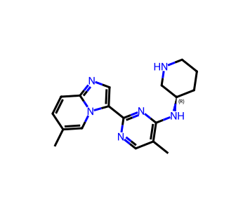 Cc1ccc2ncc(-c3ncc(C)c(N[C@@H]4CCCNC4)n3)n2c1